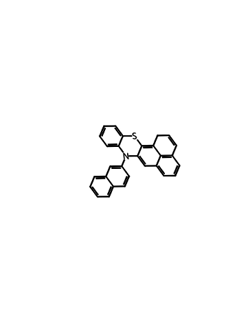 C1=Cc2cccc3cc4c(c(c23)C1)Sc1ccccc1N4c1ccc2ccccc2c1